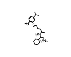 C=Nc1ccc(C(C)C)cc1SCCCC(=C)NC(CNC)C1CCCCC1